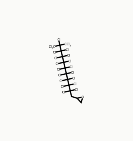 ClC(Cl)(Cl)C(Cl)(C(Cl)(Cl)Cl)C(Cl)(Cl)C(Cl)(Cl)C(Cl)(Cl)C(Cl)(Cl)C(Cl)(Cl)C(Cl)(Cl)C(Cl)(Cl)C(Cl)(Cl)CC1CO1